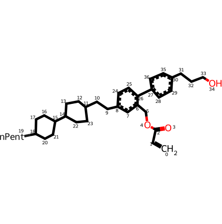 C=CC(=O)OCc1cc(CCC2CCC(C3CCC(CCCCC)CC3)CC2)ccc1-c1ccc(CCCO)cc1